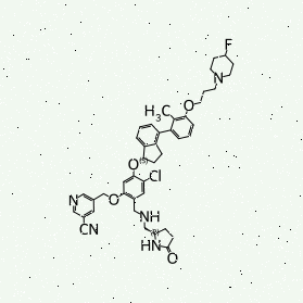 Cc1c(OCCCN2CCC(F)CC2)cccc1-c1cccc2c1CC[C@@H]2Oc1cc(OCc2cncc(C#N)c2)c(CNC[C@H]2CCC(=O)N2)cc1Cl